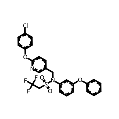 O=S(=O)(CC(F)(F)F)N(Cc1ccc(Oc2ccc(Cl)cc2)nc1)c1cccc(Oc2ccccc2)c1